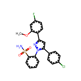 COc1cc(F)ccc1-c1cc(-c2ccc(Cl)cc2)n(-c2ccccc2S(N)(=O)=O)n1